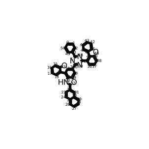 c1ccc(-c2nc(-c3cc4c(c5c3oc3ccccc35)NC(c3ccc5ccccc5c3)O4)nc(-c3cccc4oc5ccccc5c34)n2)cc1